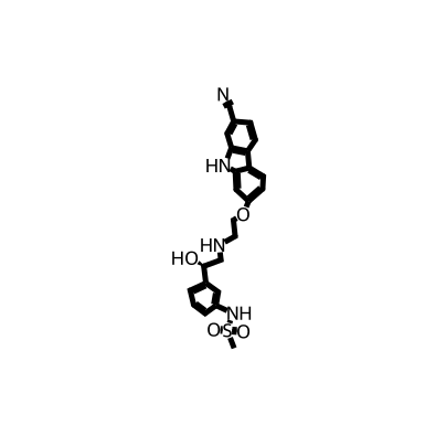 CS(=O)(=O)Nc1cccc([C@@H](O)CNCCOc2ccc3c(c2)[nH]c2cc(C#N)ccc23)c1